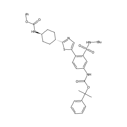 CC(C)OC(=O)N[C@H]1CC[C@H](c2ncc(-c3ccc(NC(=O)OC(C)(C)c4ccccc4)cc3S(=O)(=O)NC(C)(C)C)s2)CC1